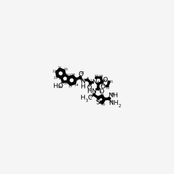 C[C@@H](NC(=O)C1N(C(=O)CNC(=O)c2ccc3c(c2)-c2ccccc2C3O)CCC12OCCO2)c1cc(C(=N)N)cs1